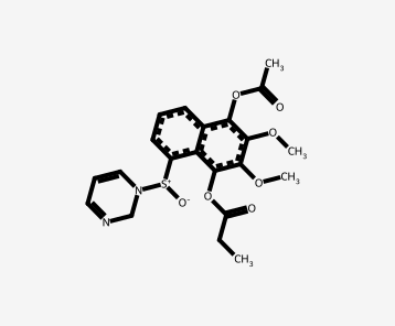 CCC(=O)Oc1c(OC)c(OC)c(OC(C)=O)c2cccc([S+]([O-])N3C=CC=NC3)c12